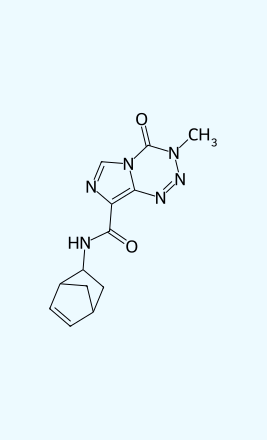 Cn1nnc2c(C(=O)NC3CC4C=CC3C4)ncn2c1=O